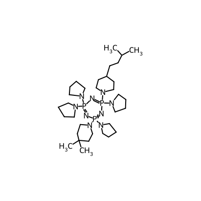 CC(C)CCC1CCN(P2(N3CCCC3)=NP(N3CCCC3)(N3CCCC3)=NP(N3CCCC3)(N3CCC(C)(C)CC3)=N2)CC1